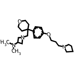 CN(C)C1CN(CC2(c3ccc(OCCCN4CCCC4)cc3)CCOCC2)C1